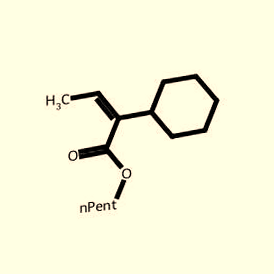 CC=C(C(=O)OCCCCC)C1CCCCC1